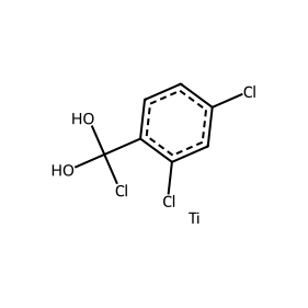 OC(O)(Cl)c1ccc(Cl)cc1Cl.[Ti]